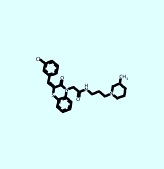 CC1CCCN(CCCNC(=O)CN2C(=O)/C(=C\c3cccc(Cl)c3)Sc3ccccc32)C1